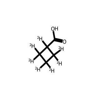 [2H]C1([2H])C([2H])([2H])C([2H])(C(=O)O)C1([2H])[2H]